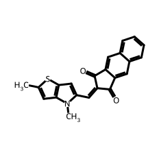 Cc1cc2c(cc(C=C3C(=O)c4cc5ccccc5cc4C3=O)n2C)s1